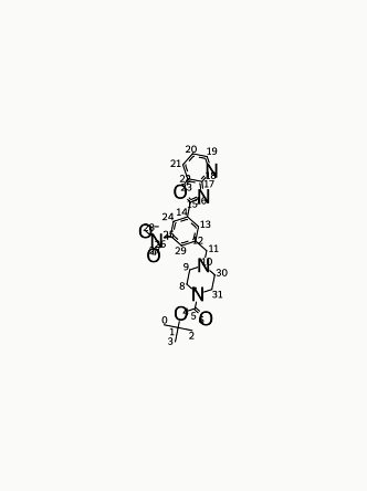 CC(C)(C)OC(=O)N1CCN(Cc2cc(-c3nc4ncccc4o3)cc([N+](=O)[O-])c2)CC1